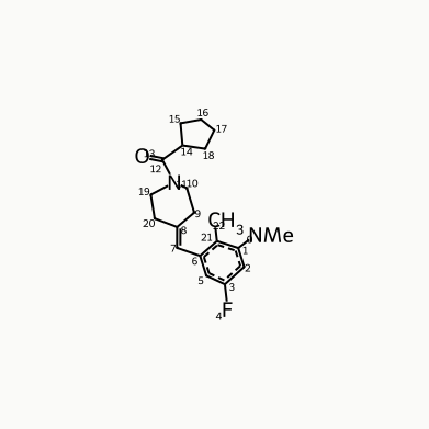 CNc1cc(F)cc(C=C2CCN(C(=O)C3CCCC3)CC2)c1C